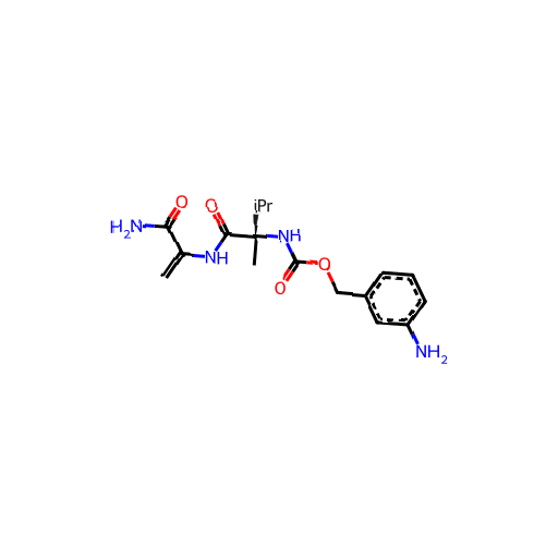 C=C(NC(=O)[C@@](C)(NC(=O)OCc1cccc(N)c1)C(C)C)C(N)=O